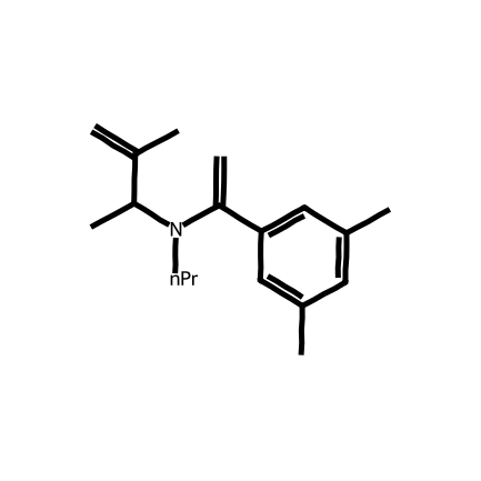 C=C(C)C(C)N(CCC)C(=C)c1cc(C)cc(C)c1